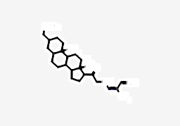 COCC1CCC2(C)C(CCC3C2CCC2(C)C(C(=O)CN/C=C(\C=N)C(F)(F)F)CCC32)C1